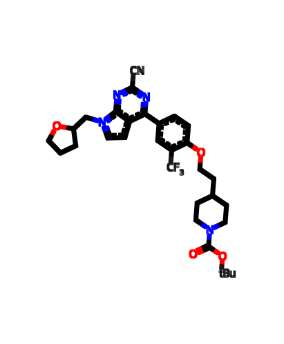 CC(C)(C)OC(=O)N1CCC(CCOc2ccc(-c3nc(C#N)nc4c3ccn4CC3CCCO3)cc2C(F)(F)F)CC1